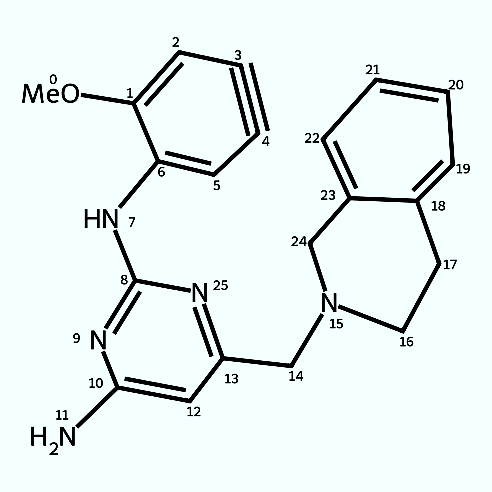 COc1cc#ccc1Nc1nc(N)cc(CN2CCc3ccccc3C2)n1